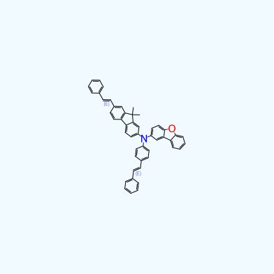 CC1(C)c2cc(/C=C/c3ccccc3)ccc2-c2ccc(N(c3ccc(/C=C/c4ccccc4)cc3)c3ccc4oc5ccccc5c4c3)cc21